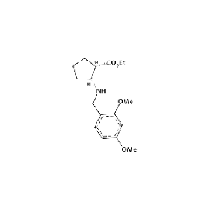 CCOC(=O)[C@H]1CCC[C@H]1NCc1ccc(OC)cc1OC